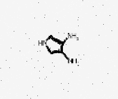 Nc1c[nH]cc1N